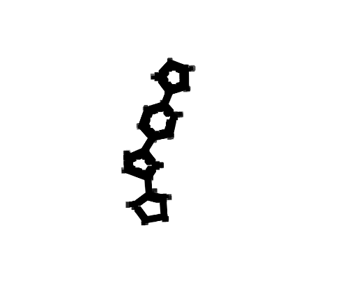 c1nc(-c2ccc(-c3nc(C4=NCCS4)cs3)cn2)cs1